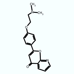 CN(C)CCOc1ccc(-c2cc(=O)c3cccnc3o2)cc1